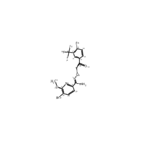 COc1nc(/C(N)=N/OCC(=O)c2ccc(F)c(C(F)(F)F)c2)ccc1Br